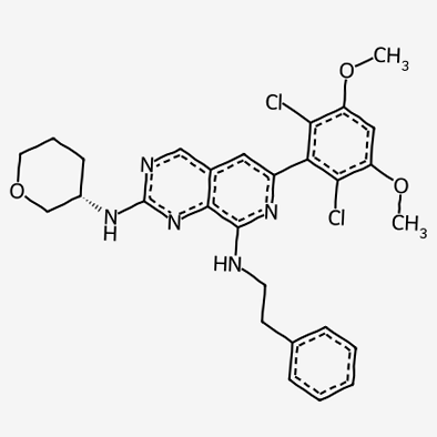 COc1cc(OC)c(Cl)c(-c2cc3cnc(N[C@H]4CCCOC4)nc3c(NCCc3ccccc3)n2)c1Cl